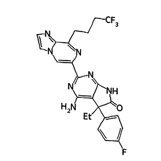 CCC1(c2ccc(F)cc2)C(=O)Nc2nc(-c3cn4ccnc4c(CCCC(F)(F)F)n3)nc(N)c21